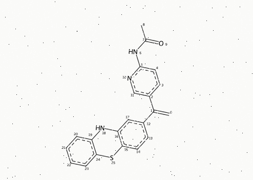 C=C(c1ccc(NC(C)=O)nc1)c1ccc2c(c1)Nc1ccccc1S2